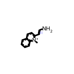 C[n+]1c(/C=C/N)ccc2ccccc21